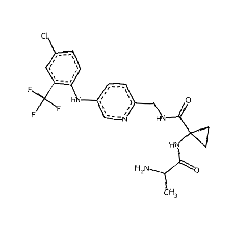 CC(N)C(=O)NC1(C(=O)NCc2ccc(Nc3ccc(Cl)cc3C(F)(F)F)cn2)CC1